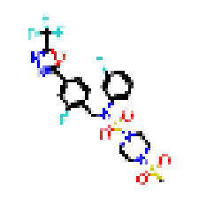 CS(=O)(=O)N1CCN(S(=O)(=O)N(Cc2ccc(-c3nnc(C(F)(F)F)o3)cc2F)c2cccc(F)c2)CC1